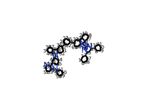 c1ccc(-c2cc(-c3ccccc3)nc(-n3c4ccccc4c4cc(-c5cccc(-c6ccc7c(c6)c6ccccc6n7-c6ccc7c(c6)c6ncccc6n7-c6ccccc6)c5)ccc43)n2)cc1